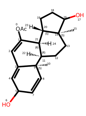 CC(=O)OC1=CC2=CC(O)C=C[C@]2(C)[C@@H]2CC[C@]3(C)C(O)CC[C@H]3[C@H]12